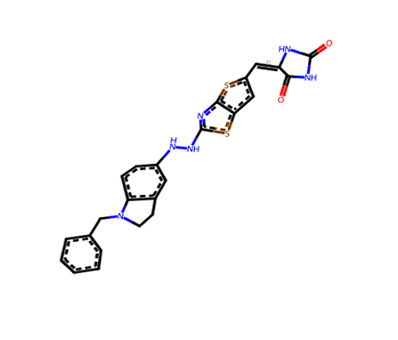 O=C1NC(=O)/C(=C\c2cc3sc(NNc4ccc5c(c4)CCN5Cc4ccccc4)nc3s2)N1